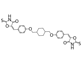 O=C1NC(=S)OC1=Cc1ccc(OCC2CCC(COc3ccc(C=C4OC(=S)NC4=O)cc3)CC2)cc1